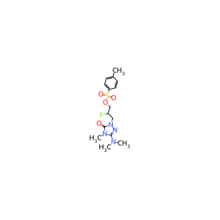 Cc1ccc(S(=O)(=O)OCC(F)Cn2nc(N(C)C)n(C)c2=O)cc1